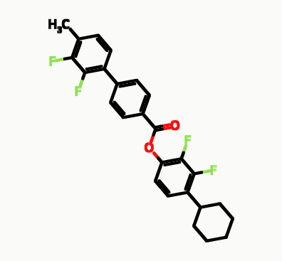 Cc1ccc(-c2ccc(C(=O)Oc3ccc(C4CCCCC4)c(F)c3F)cc2)c(F)c1F